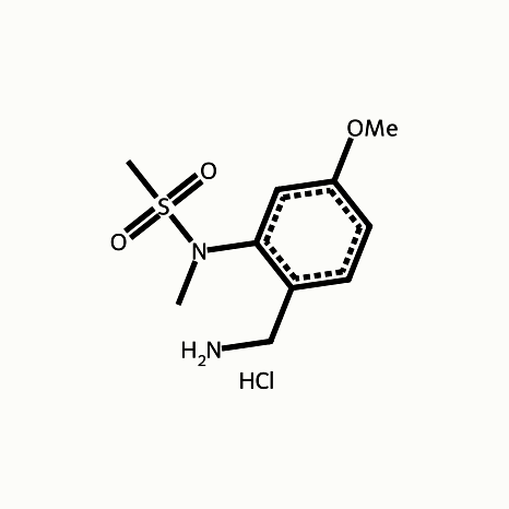 COc1ccc(CN)c(N(C)S(C)(=O)=O)c1.Cl